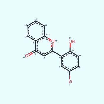 O=c1cc(-c2cc(Br)ccc2O)oc2ccccc12